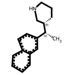 C[C@H](c1ccc2ccccc2c1)[C@H]1CCCNC1